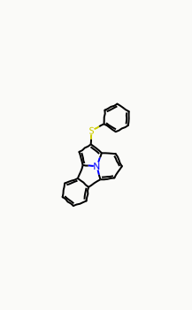 c1ccc(Sc2cc3c4ccccc4c4cccc2n43)cc1